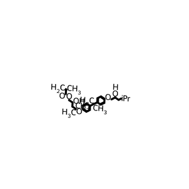 C=C(C)C(=O)OCC(O)CC(C)(C)Oc1ccc(C(C)(C)c2ccc(OCC(O)CC(C)C)cc2)cc1